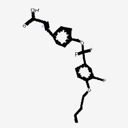 CCCCOc1ccc(C(F)(F)Oc2ccc(/C=C/C(=O)O)cc2)cc1F